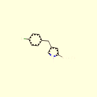 CCOC(=O)c1cc(Cc2ccc(F)cc2)c[nH]1